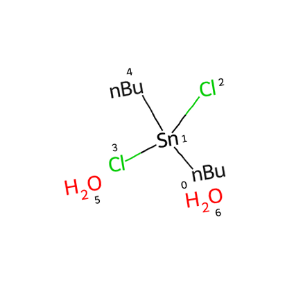 CCC[CH2][Sn]([Cl])([Cl])[CH2]CCC.O.O